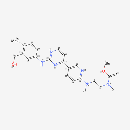 C=C(OC(C)(C)C)N(C)CCN(C)c1ccc(-c2ccnc(Nc3ccc(OC)c(CO)c3)n2)cn1